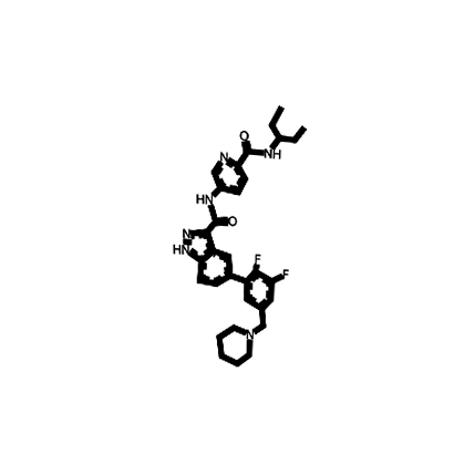 CCC(CC)NC(=O)c1ccc(NC(=O)c2n[nH]c3ccc(-c4cc(CN5CCCCC5)cc(F)c4F)cc23)cn1